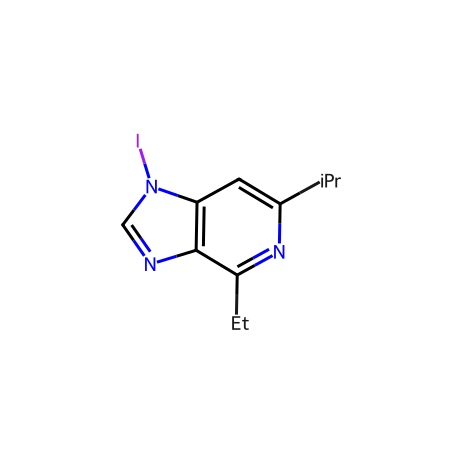 CCc1nc(C(C)C)cc2c1ncn2I